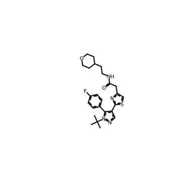 CC(C)(C)n1ncc(-c2nc(CC(=O)NCCC3CCOCC3)cs2)c1-c1ccc(F)cc1